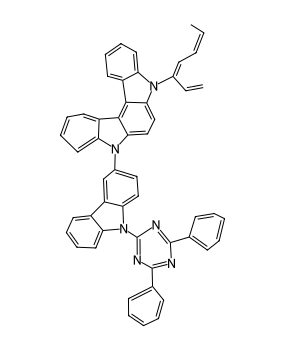 C=C/C(=C\C=C/C)n1c2ccccc2c2c3c4ccccc4n(-c4ccc5c(c4)c4ccccc4n5-c4nc(-c5ccccc5)nc(-c5ccccc5)n4)c3ccc21